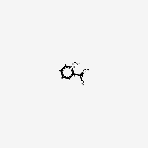 O=C([O-])c1ccccn1.[Cs+]